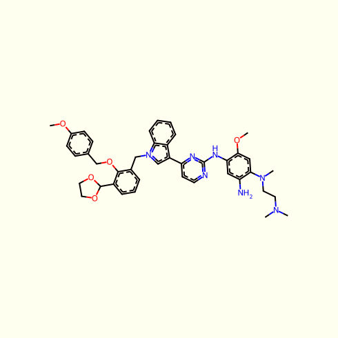 COc1ccc(COc2c(Cn3cc(-c4ccnc(Nc5cc(N)c(N(C)CCN(C)C)cc5OC)n4)c4ccccc43)cccc2C2OCCO2)cc1